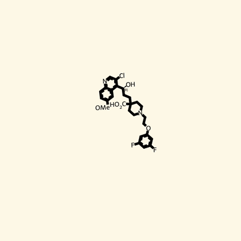 COc1ccc2ncc(Cl)c([C@H](O)CCC3(C(=O)O)CCN(CCOc4cc(F)cc(F)c4)CC3)c2c1